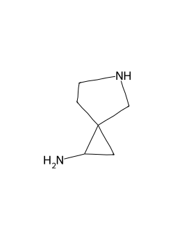 NC1CC12CCNC2